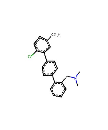 CN(C)Cc1ccccc1-c1ccc(-c2cc(C(=O)O)ccc2Cl)cc1